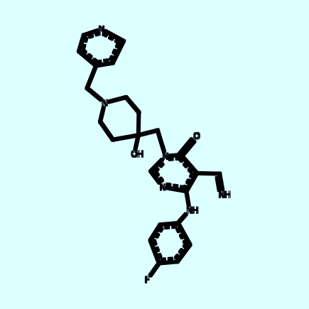 N=Cc1c(Nc2ccc(F)cc2)ncn(CC2(O)CCN(Cc3ccncc3)CC2)c1=O